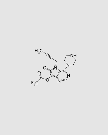 CC#CCn1c(=O)n(OC(=O)C(F)(F)F)c2ncnc(N3CCNCC3)c21